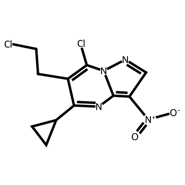 O=[N+]([O-])c1cnn2c(Cl)c(CCCl)c(C3CC3)nc12